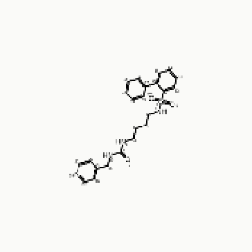 O=C(NCCCCNS(=O)(=O)c1ccccc1-c1ccccc1)NCc1ccncc1